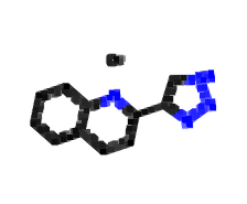 [Cu].c1ccc2nc(-c3c[nH]nn3)ccc2c1